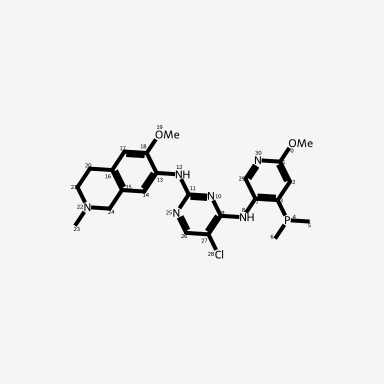 COc1cc(P(C)C)c(Nc2nc(Nc3cc4c(cc3OC)CCN(C)C4)ncc2Cl)cn1